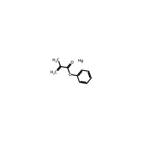 C=C(C)C(=O)Oc1ccccc1.[Hg]